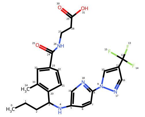 CCCC(Nc1ccc(-n2cc(C(F)(F)F)cn2)nc1)c1ccc(C(=O)NCCC(=O)O)cc1C